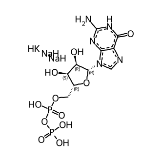 Nc1nc2c(ncn2[C@@H]2O[C@H](COP(=O)(O)OP(=O)(O)O)[C@@H](O)[C@H]2O)c(=O)[nH]1.[KH].[NaH].[NaH]